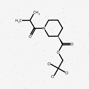 CC(C)C(=O)N1CCC[C@@H](C(=O)OCC(Cl)(Cl)Cl)C1